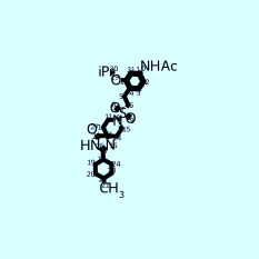 CC(=O)Nc1ccc(CCS(=O)(=O)N2CCC3(CC2)N=C(C2CCC(C)CC2)NC3=O)c(OC(C)C)c1